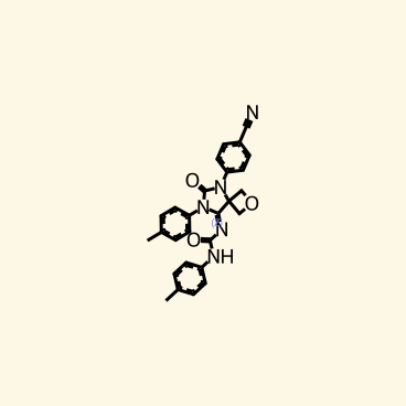 Cc1ccc(NC(=O)/N=C2\N(c3ccc(C)cc3)C(=O)N(c3ccc(C#N)cc3)C23COC3)cc1